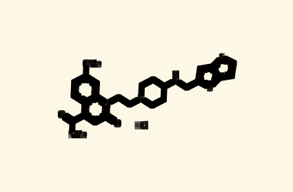 CNC(=O)c1cc(=O)n(CCN2CCC(NCc3cc4sccc4s3)CC2)c2cc(OC)ccc12.Cl